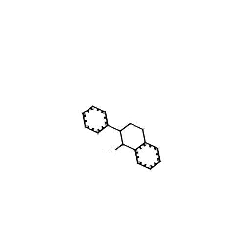 CC(=O)NC1c2ccccc2CCC1c1ccccc1